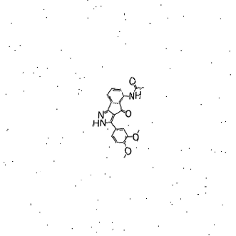 COc1ccc(-c2[nH]nc3c2C(=O)c2c(NC(C)=O)cccc2-3)cc1OC